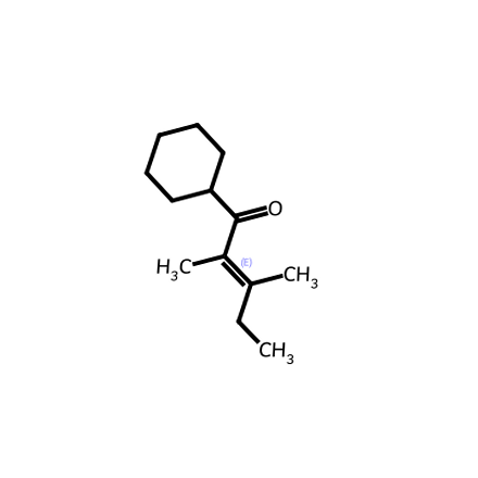 CC/C(C)=C(\C)C(=O)C1CCCCC1